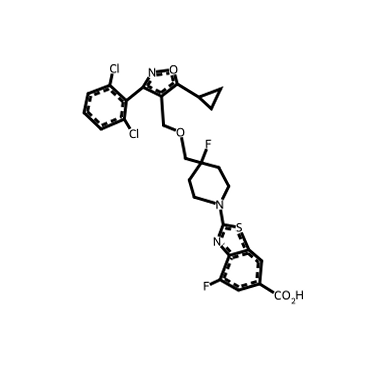 O=C(O)c1cc(F)c2nc(N3CCC(F)(COCc4c(-c5c(Cl)cccc5Cl)noc4C4CC4)CC3)sc2c1